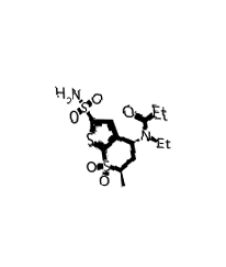 CCC(=O)N(CC)[C@@H]1C[C@@H](C)S(=O)(=O)c2sc(S(N)(=O)=O)cc21